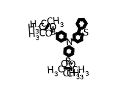 CC1(C)OB(c2ccc(N(c3ccc(B4OC(C)(C)C(C)(C)O4)cc3)c3ccc4sc5ccccc5c4c3)cc2)OC1(C)C